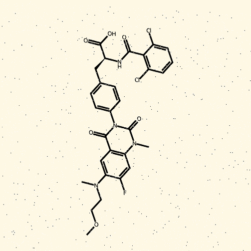 COCCN(C)c1cc2c(=O)n(-c3ccc(C[C@H](NC(=O)c4c(Cl)cccc4Cl)C(=O)O)cc3)c(=O)n(C)c2cc1F